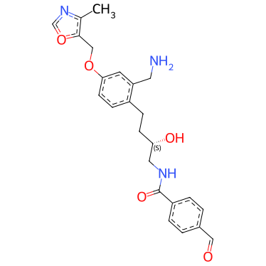 Cc1ncoc1COc1ccc(CC[C@H](O)CNC(=O)c2ccc(C=O)cc2)c(CN)c1